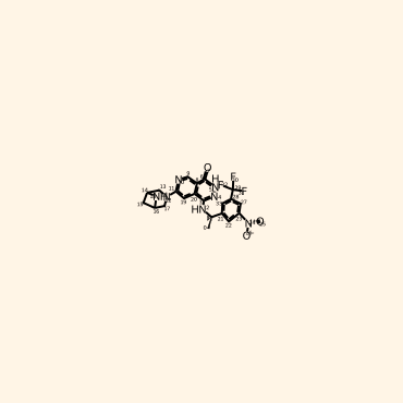 C[C@@H](Nc1n[nH]c(=O)c2cnc(N3CC4CC(C3)N4)cc12)c1cc([N+](=O)[O-])cc(C(F)(F)F)c1